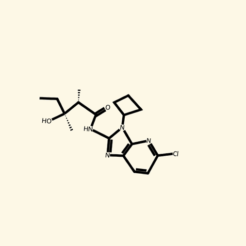 CC[C@](C)(O)[C@H](C)C(=O)Nc1nc2ccc(Cl)nc2n1C1CCC1